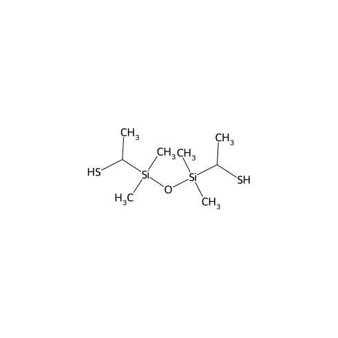 CC(S)[Si](C)(C)O[Si](C)(C)C(C)S